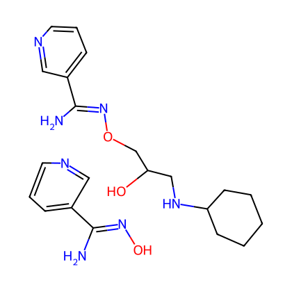 NC(=NO)c1cccnc1.NC(=NOCC(O)CNC1CCCCC1)c1cccnc1